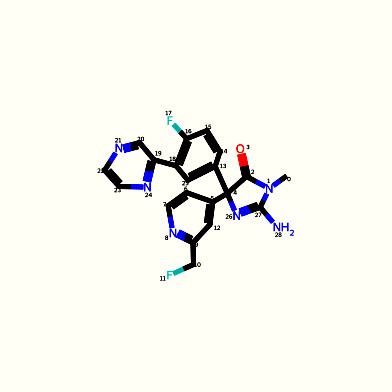 CN1C(=O)C(c2ccnc(CF)c2)(c2ccc(F)c(-c3cnccn3)c2)N=C1N